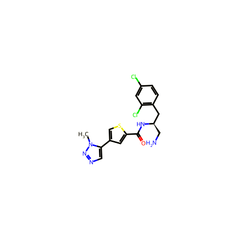 Cn1nncc1-c1csc(C(=O)N[C@H](CN)Cc2ccc(Cl)cc2Cl)c1